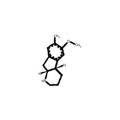 COc1cc2c(cc1C)C[C@H]1NCCC[C@@H]21